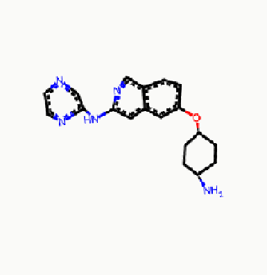 N[C@H]1CC[C@@H](Oc2ccc3cnc(Nc4cnccn4)cc3c2)CC1